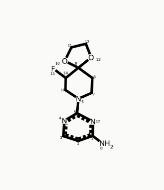 Nc1ccnc(N2CCC3(OCCO3)C(F)C2)n1